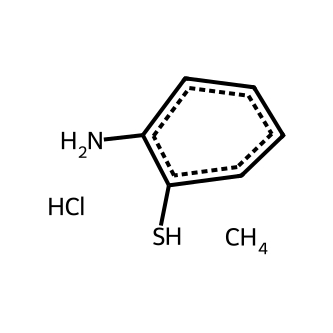 C.Cl.Nc1ccccc1S